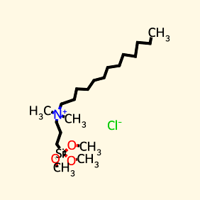 CCCCCCCCCCCCC[N+](C)(C)CCC[Si](OC)(OC)OC.[Cl-]